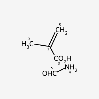 C=C(C)C(=O)O.NC=O